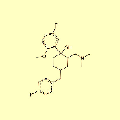 COc1ccc(F)cc1C1(O)CCC(Cc2ccc(F)cc2)CC1CN(C)C